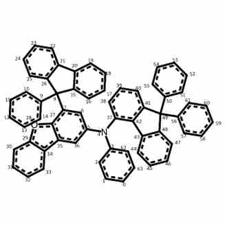 c1ccc(N(c2cc(C3(c4ccccc4)c4ccccc4-c4ccccc43)c3oc4ccccc4c3c2)c2cccc3c2-c2ccccc2C3(c2ccccc2)c2ccccc2)cc1